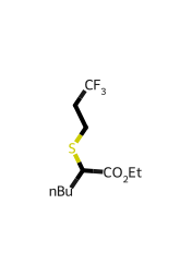 CCCCC(SCCC(F)(F)F)C(=O)OCC